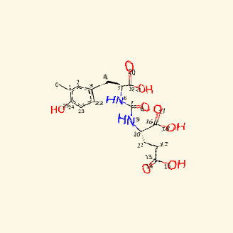 Cc1cc(C[C@H](NC(=O)N[C@@H](CCC(=O)O)C(=O)O)C(=O)O)ccc1O